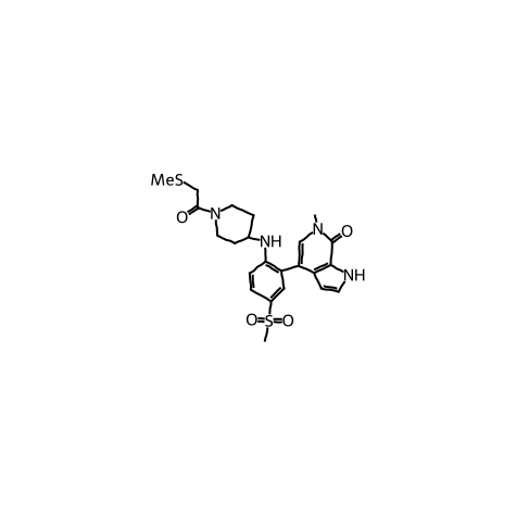 CSCC(=O)N1CCC(Nc2ccc(S(C)(=O)=O)cc2-c2cn(C)c(=O)c3[nH]ccc23)CC1